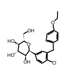 CCOc1ccc(Cc2cc([C@@H]3O[C@@H](CO)[C@H](O)[C@@H](O)[C@@H]3O)ccc2Cl)cc1